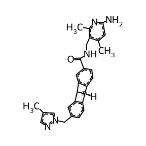 Cc1cnn(Cc2ccc3c(c2)C2c4cc(C(=O)NCc5c(C)cc(N)nc5C)ccc4[C@H]32)c1